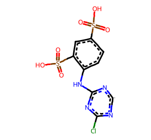 O=S(=O)(O)c1ccc(Nc2n[c]nc(Cl)n2)c(S(=O)(=O)O)c1